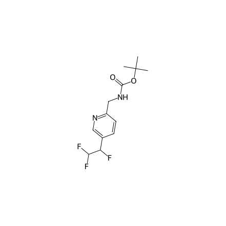 CC(C)(C)OC(=O)NCc1ccc(C(F)C(F)F)cn1